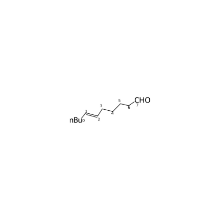 CCCC/C=C/CCCCC=O